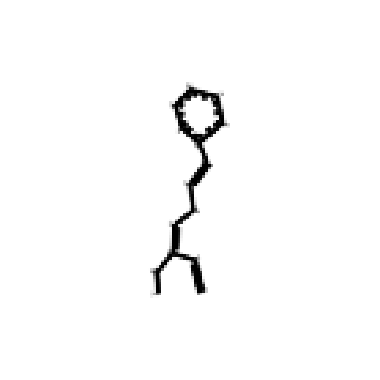 C=CC(=CCC=Cc1ccccc1)CC